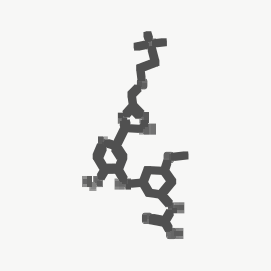 COC1CC(NC(=O)O)CC(Nc2cc(-c3nc(COCC[Si](C)(C)C)n[nH]3)ncc2N)C1